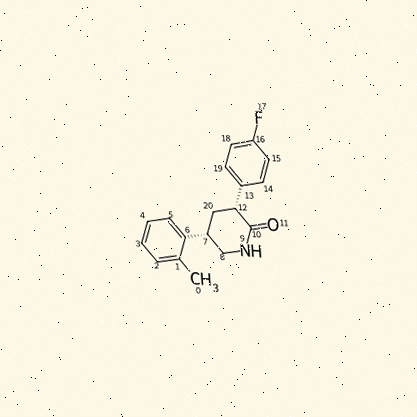 Cc1ccccc1[C@H]1CNC(=O)[C@@H](c2ccc(F)cc2)C1